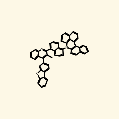 Cc1c(-c2cccc3c(N4c5ccc6ccccc6c5-c5cccc6cccc4c56)cccc23)nc2ccccc2c1-c1ccc2c(c1)sc1ccccc12